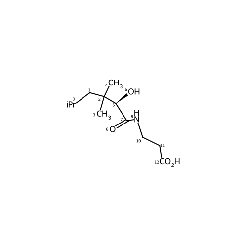 CC(C)CC(C)(C)[C@@H](O)C(=O)NCCC(=O)O